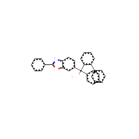 OC(c1ccc(Cl)cc1)(c1ccc2nc(-c3ccccc3)oc2c1)c1ccccc1-c1ccccc1